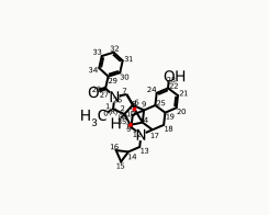 C[C@@H]1[C@H]2CC34CCC(C2C32CCN(CC3CC3)C4CC3C=CC(O)=CC32)N1C(=O)c1ccccc1